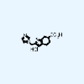 Cl.O=C(O)C1CCc2cc(Cn3ccnc3)sc2C1